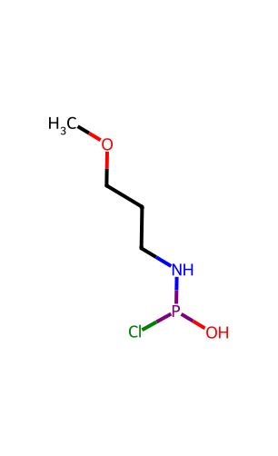 COCCCNP(O)Cl